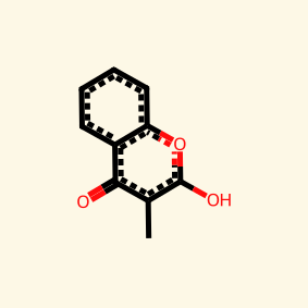 Cc1c(O)oc2ccccc2c1=O